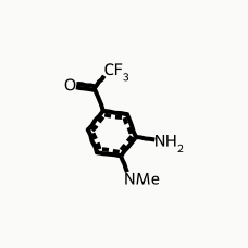 CNc1ccc(C(=O)C(F)(F)F)cc1N